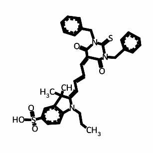 CCCN1/C(=C/C=C/C=C2C(=O)N(Cc3ccccc3)C(=S)N(Cc3ccccc3)C2=O)C(C)(C)c2cc(S(=O)(=O)O)ccc21